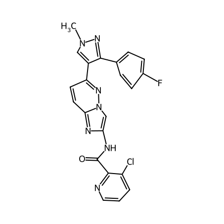 Cn1cc(-c2ccc3nc(NC(=O)c4ncccc4Cl)cn3n2)c(-c2ccc(F)cc2)n1